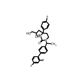 CC(c1ccc(-c2ccc(F)cc2F)cc1)N1CCC(CC(O)CO)(c2ccc(F)cc2)NC1=O